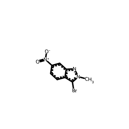 Cn1nc2cc([N+](=O)[O-])ccc2c1Br